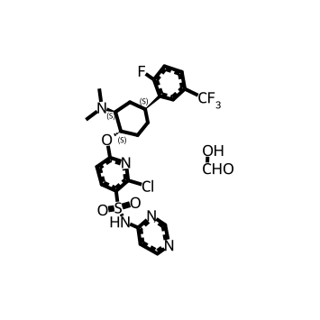 CN(C)[C@H]1C[C@@H](c2cc(C(F)(F)F)ccc2F)CC[C@@H]1Oc1ccc(S(=O)(=O)Nc2ccncn2)c(Cl)n1.O=CO